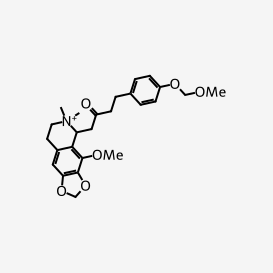 COCOc1ccc(CCC(=O)CC2c3c(cc4c(c3OC)OCO4)CC[N+]2(C)C)cc1